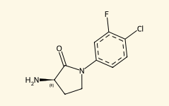 N[C@@H]1CCN(c2ccc(Cl)c(F)c2)C1=O